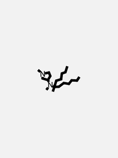 CCCCCCC(C)(CCCCC)N(C)C1CCN(C)C1